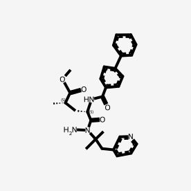 COC(=O)[C@@H](C)C[C@H](NC(=O)c1ccc(-c2ccccc2)cc1)C(=O)N(N)C(C)(C)Cc1cccnc1